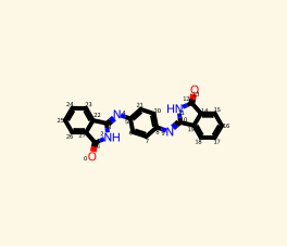 O=C1N/C(=N\c2ccc(/N=C3\NC(=O)c4ccccc43)cc2)c2ccccc21